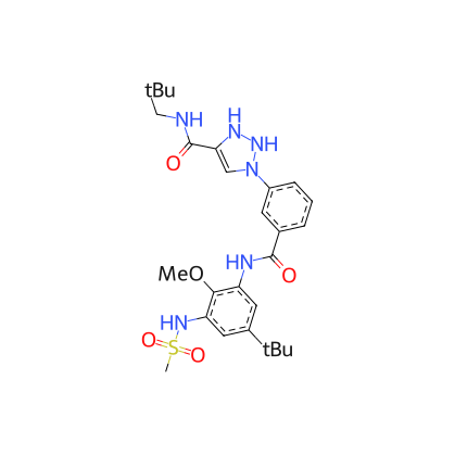 COc1c(NC(=O)c2cccc(N3C=C(C(=O)NCC(C)(C)C)NN3)c2)cc(C(C)(C)C)cc1NS(C)(=O)=O